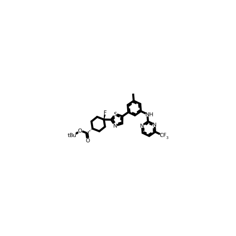 Cc1cc(Nc2nccc(C(F)(F)F)n2)cc(-c2cnc([C@]3(F)CC[C@H](C(=O)OC(C)(C)C)CC3)s2)c1